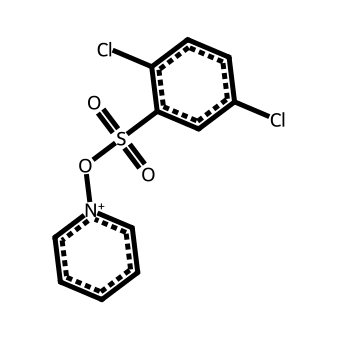 O=S(=O)(O[n+]1ccccc1)c1cc(Cl)ccc1Cl